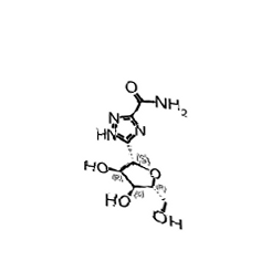 NC(=O)c1n[nH]c([C@@H]2O[C@H](CO)[C@@H](O)[C@H]2O)n1